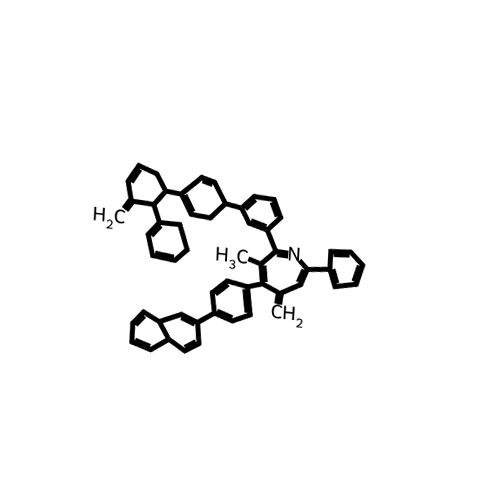 C=C1C=C(c2ccccc2)N=C(c2cccc(C3C=CC(C4CC=CC(=C)C4C4=CC=CCC4)=CC3)c2)C(C)=C1c1ccc(C2=CC3C=CC=CC3C=C2)cc1